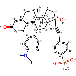 CCS(=O)(=O)c1ccc(C#C[C@]2(O)CC[C@H]3[C@@H]4CCC5=CC(=O)CCC5=C4[C@@H](c4ccc(N(C)C)cc4)C[C@@]32C)cc1